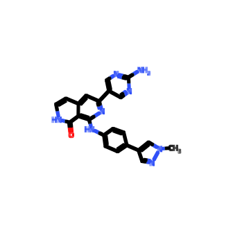 Cn1cc(-c2ccc(Nc3nc(-c4cnc(N)nc4)cc4cc[nH]c(=O)c34)cc2)cn1